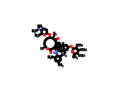 CC[C@H]1CCC[C@H](O[C@H]2CC[C@H](N(C)C)C(C)O2)[C@@H](C)C(=O)C2=C[C@H]3[C@@H]4C[C@H](O[C@@H]5OC(C)[C@H](OC)C(OC)C5OC)C[C@H]4C[C@H](Nc4c(C)cc(C)cc4C)[C@H]3[C@@H]2CC(=O)O1